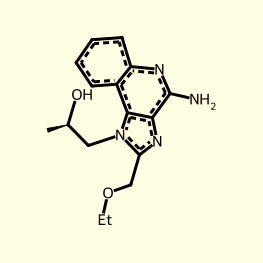 CCOCc1nc2c(N)nc3ccccc3c2n1C[C@@H](C)O